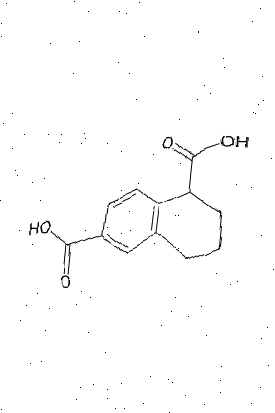 O=C(O)c1ccc2c(c1)CCCC2C(=O)O